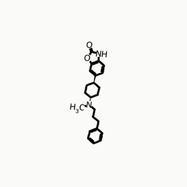 CN(CCCc1ccccc1)[C@H]1CC[C@H](c2ccc3[nH]c(=O)oc3c2)CC1